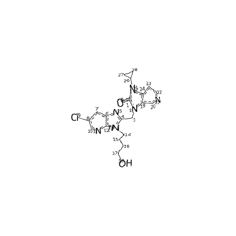 O=c1n(Cc2nc3cc(Cl)cnc3n2CCCCO)c2cnccc2n1C1CC1